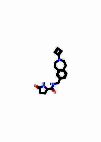 O=C1CCC(C(=O)NCc2ccc3c(c2)CCN(C2=CC=C2)CC3)N1